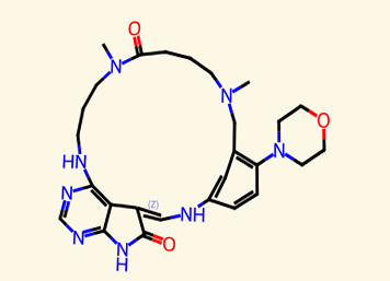 CN1CCCC(=O)N(C)CCCNc2ncnc3c2/C(=C/Nc2ccc(N4CCOCC4)c(c2)C1)C(=O)N3